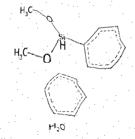 CO[SiH](OC)c1ccccc1.O.c1ccccc1